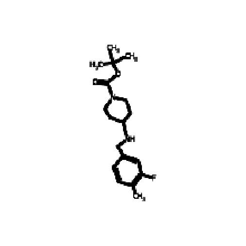 Cc1ccc(CNC2CCN(C(=O)OC(C)(C)C)CC2)cc1F